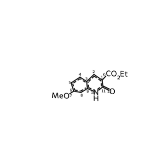 CCOC(=O)c1cc2ccc(OC)cc2[nH]c1=O